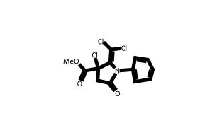 COC(=O)C1(Cl)CC(=O)N(c2ccccc2)C1=C(Cl)Cl